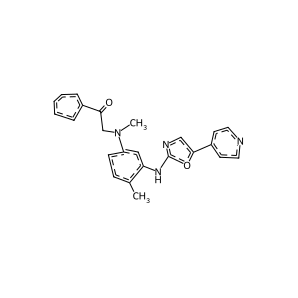 Cc1ccc(N(C)CC(=O)c2ccccc2)cc1Nc1ncc(-c2ccncc2)o1